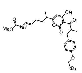 COC(=O)N/C=C/CCC(C)c1cc(O)c(C(=O)C(C)Cc2ccc(OCC(C)(C)C)cc2)c(=O)o1